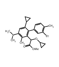 CCc1cc(-c2c(C3CC3)cc(N(C)C)c(C)c2C(OC2CC2)C(=O)OC)ccc1C